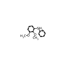 COc1cccc([SiH2]c2ccccc2)c1OC